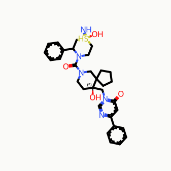 N=[SH]1(O)CCN(C(=O)N2CC[C@@](O)(Cn3cnc(-c4ccccc4)cc3=O)C3(CCCC3)C2)C(c2ccccc2)C1